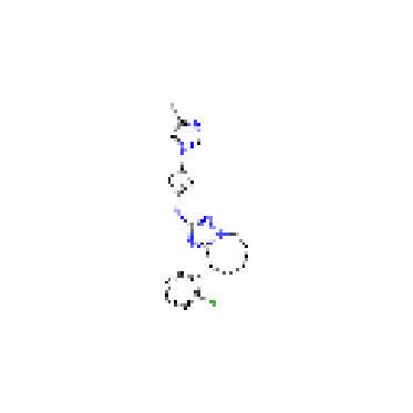 Cc1cn(C23CC(Nc4nc5n(n4)CCCC[C@@H]5c4ccccc4F)(C2)C3)cn1